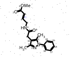 COC(=O)/C=C/CNC(=O)Cc1c(C)nn(-c2ccccc2)c1C